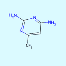 Nc1cc(C(F)(F)F)nc(N)n1